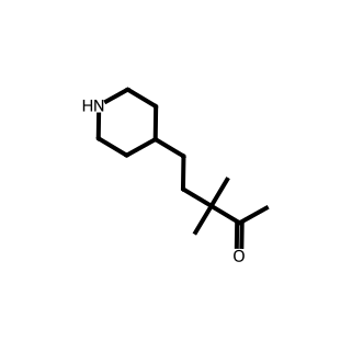 CC(=O)C(C)(C)CCC1CCNCC1